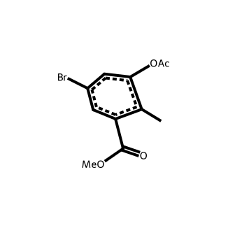 COC(=O)c1cc(Br)cc(OC(C)=O)c1C